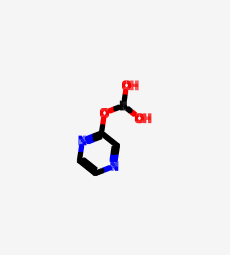 OB(O)Oc1cnccn1